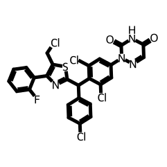 O=c1cnn(-c2cc(Cl)c(C(c3ccc(Cl)cc3)c3nc(-c4ccccc4F)c(CCl)s3)c(Cl)c2)c(=O)[nH]1